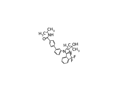 CC(C)NC(=O)c1ccc(-c2cccc(-n3cc(C(C)(C)O)nc3-c3ccccc3C(F)(F)F)c2)cc1